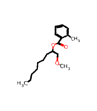 CCCCCCCC(COC)OC(=O)c1ccccc1C